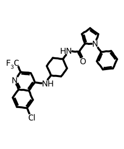 O=C(NC1CCC(Nc2cc(C(F)(F)F)nc3ccc(Cl)cc23)CC1)c1cccn1-c1ccccc1